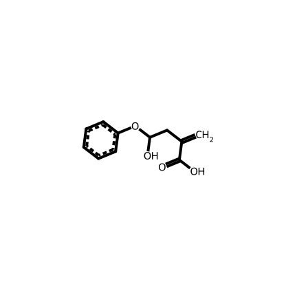 C=C(CC(O)Oc1ccccc1)C(=O)O